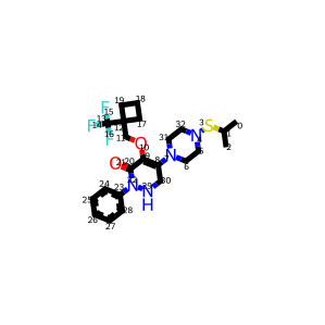 CC(C)SN1CCN(C2=C(OCC3(C(F)(F)F)CCC3)C(=O)N(c3ccccc3)NC2)CC1